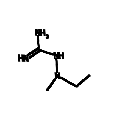 CCN(C)NC(=N)N